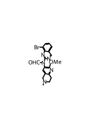 COc1nc2c(cc1N(C=O)c1ncc3cccc(Br)c3n1)CN(C)CC2